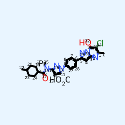 Cc1nc2cc(-c3ccc(-n4cc(C(=O)O)c(N(C(=O)C5CCC(C)CC5)C(C)C)n4)cc3)nn2c(O)c1Cl